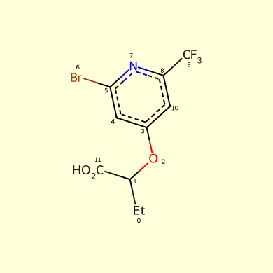 CCC(Oc1cc(Br)nc(C(F)(F)F)c1)C(=O)O